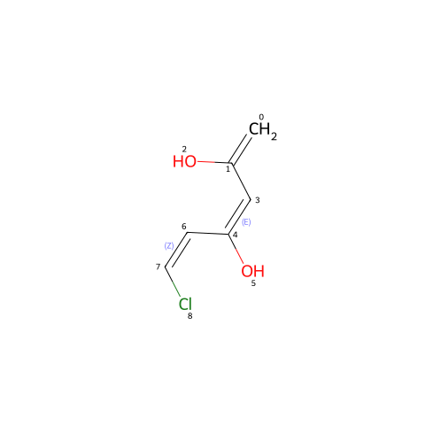 C=C(O)/C=C(O)\C=C/Cl